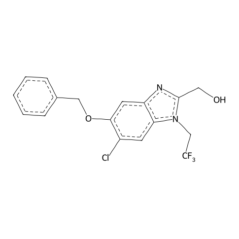 OCc1nc2cc(OCc3ccccc3)c(Cl)cc2n1CC(F)(F)F